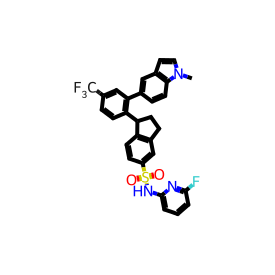 Cn1ccc2cc(-c3cc(C(F)(F)F)ccc3C3CCc4cc(S(=O)(=O)Nc5cccc(F)n5)ccc43)ccc21